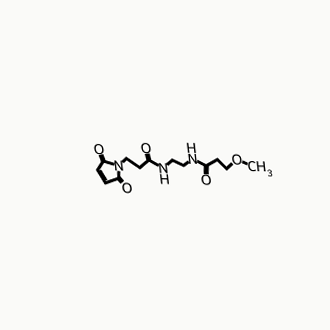 COCCC(=O)NCCNC(=O)CCN1C(=O)C=CC1=O